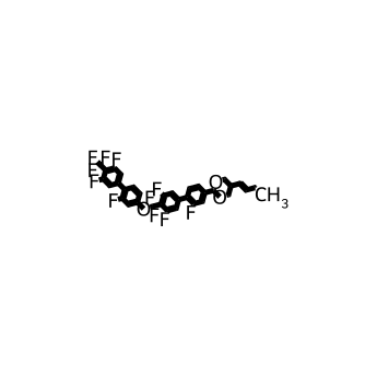 CC/C=C/C1COC(c2ccc(-c3cc(F)c(C(F)(F)Oc4ccc(-c5cc(F)c(C(F)(F)F)c(F)c5)c(F)c4)c(F)c3)c(F)c2)OC1